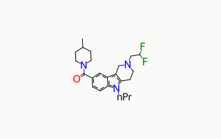 CCCn1c2c(c3cc(C(=O)N4CCC(C)CC4)ccc31)CN(CC(F)F)CC2